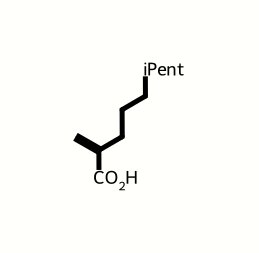 C=C(CCCC(C)CCC)C(=O)O